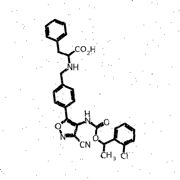 CC(OC(=O)Nc1c(C#N)noc1-c1ccc(CNC(Cc2ccccc2)C(=O)O)cc1)c1ccccc1Cl